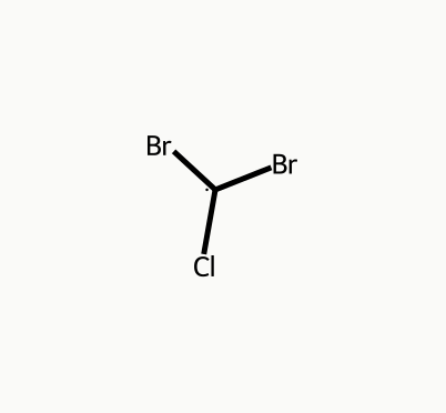 Cl[C](Br)Br